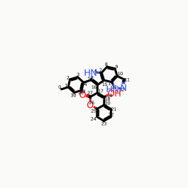 Cc1ccc(-c2[nH]c3ccc4cn[nH]c4c3c2-c2c(O)c3ccccc3oc2=O)cc1